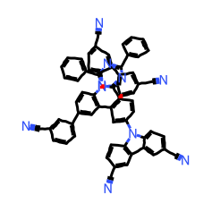 N#Cc1cccc(-c2ccc(-n3c4ccc(C#N)cc4c4cc(C#N)ccc43)c(-c3cc(-n4c5ccc(C#N)cc5c5cc(C#N)ccc54)ccc3-c3nc(-c4ccccc4)nc(-c4ccccc4)n3)c2)c1